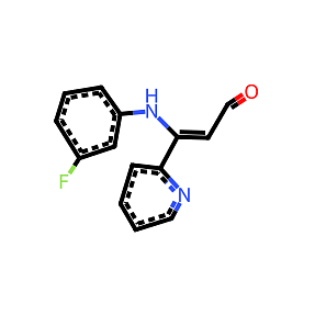 O=C/C=C(\Nc1cccc(F)c1)c1ccccn1